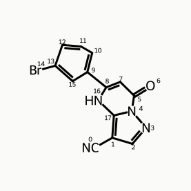 N#Cc1cnn2c(=O)cc(-c3cccc(Br)c3)[nH]c12